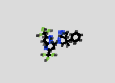 C[C@](CNc1cc(C(F)(F)F)nc2cc(C(F)(F)F)nn12)(c1ccccc1)C1CNC1